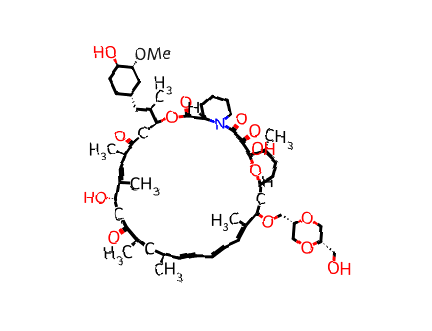 CO[C@@H]1C[C@H](C[C@@H](C)[C@@H]2CC(=O)[C@H](C)/C=C(\C)[C@@H](O)CC(=O)[C@H](C)C[C@H](C)/C=C/C=C/C=C(\C)C(OC[C@H]3CO[C@@H](CO)CO3)C[C@@H]3CC[C@@H](C)[C@@](O)(O3)C(=O)C(=O)N3CCCC[C@H]3C(=O)O2)CC[C@H]1O